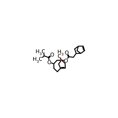 CC(C/C1=C\CCCC(OC(=O)C(C)C)CC1)OC(=O)CC1CC2C=CC1C2